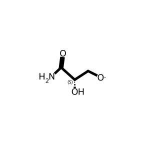 NC(=O)[C@@H](O)C[O]